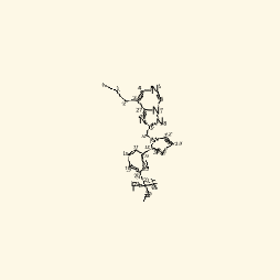 CCCc1cncn2nc(Cn3ccnc3-c3cccc(C(F)(F)F)n3)nc12